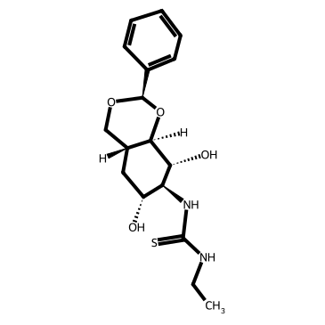 CCNC(=S)N[C@@H]1[C@@H](O)[C@@H]2O[C@H](c3ccccc3)OC[C@H]2C[C@H]1O